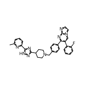 Cc1cccc(-c2nc(C3CCN(Cc4ccc(-c5nc6nccn6cc5-c5ccccc5F)cc4)CC3)n[nH]2)n1